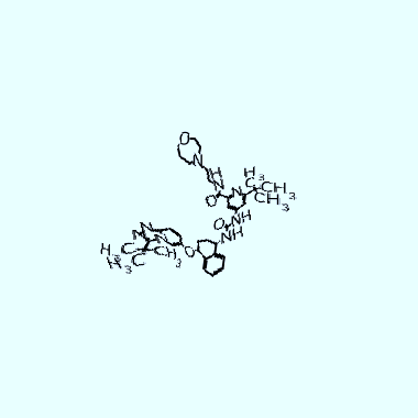 CC(C)(C)c1cc(NC(=O)N[C@H]2CC[C@@H](Oc3ccc4nnc(C(C)(C)C)n4c3)c3ccccc32)cc(C(=O)NCCN2CCCOCC2)n1